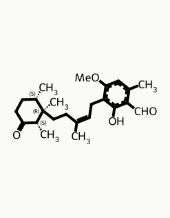 COc1cc(C)c(C=O)c(O)c1CC=C(C)CC[C@@]1(C)[C@H](C)C(=O)CC[C@@H]1C